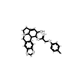 Cc1ccc(OCC(=O)OC2C(O)C=C3CCN4Cc5cc6c(cc5C2C34)OCO6)cc1